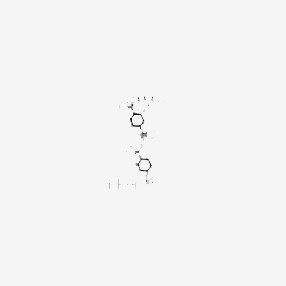 CCCCCOc1ccc(C(=O)COC(=O)c2ccc(C(=O)OC)cc2)cc1